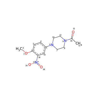 COc1ccc(N2CCN(C(C)=O)CC2)cc1[N+](=O)[O-]